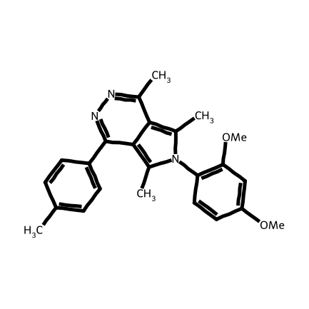 COc1ccc(-n2c(C)c3c(C)nnc(-c4ccc(C)cc4)c3c2C)c(OC)c1